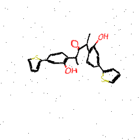 CC(C(=O)C(C)c1ccc(-c2cccs2)cc1O)c1ccc(-c2cccs2)cc1O